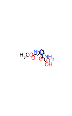 CCOC(=O)[C@@H](N)Cc1ccccc1C(=O)[C@@H](N)CC(=O)O